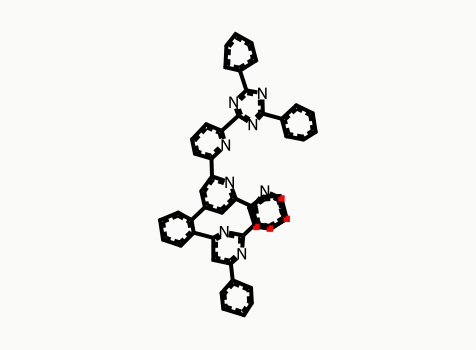 c1ccc(-c2cc(-c3ccccc3-c3cc(-c4ccccn4)nc(-c4cccc(-c5nc(-c6ccccc6)nc(-c6ccccc6)n5)n4)c3)nc(-c3ccccc3)n2)cc1